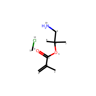 C=C(C)C(=O)OC(C)(C)CN.CCl